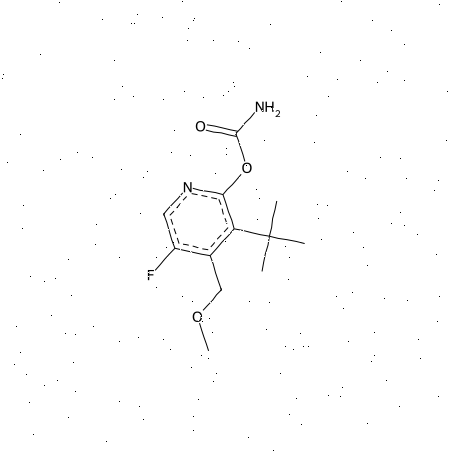 COCc1c(F)cnc(OC(N)=O)c1C(C)(C)C